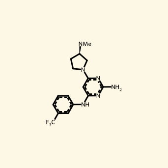 CN[C@@H]1CCN(c2cc(Nc3cccc(C(F)(F)F)c3)nc(N)n2)C1